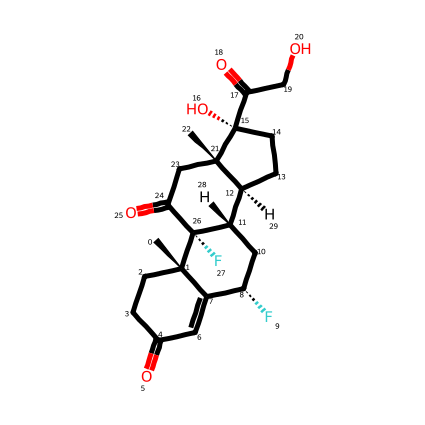 C[C@]12CCC(=O)C=C1[C@@H](F)C[C@H]1[C@@H]3CC[C@](O)(C(=O)CO)[C@@]3(C)CC(=O)[C@@]12F